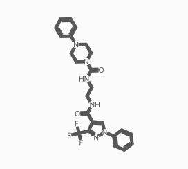 O=C(NCCNC(=O)N1CCN(c2ccccc2)CC1)c1cn(-c2ccccc2)nc1C(F)(F)F